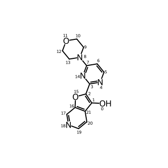 Oc1c(-c2nccc(N3CCOCC3)n2)oc2cnccc12